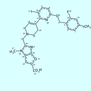 Cc1ccc(COc2ccc(I)c(C3=CCN(Cc4nc5oc(C(=O)O)cc5n4C)CC3)n2)c(F)c1